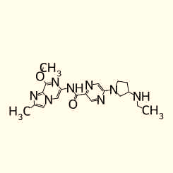 CCNC1CCN(c2cnc(C(=O)Nc3cn4cc(C)nc4c(OC)n3)cn2)C1